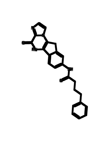 O=C(CCCc1ccccc1)Nc1ccc2c(c1)Cc1c-2[nH]c(=O)c2nccn12